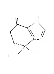 CCOC(=O)C1(C)CCC(=O)c2[nH]cnc21